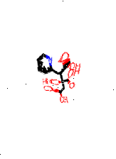 O=C(O)CC(O)(C(=O)O)C(C(=O)O)c1ccccn1